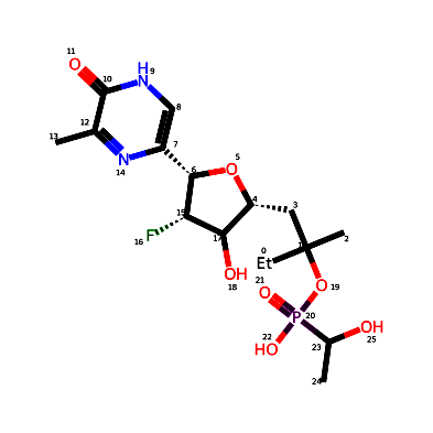 CCC(C)(C[C@H]1O[C@@H](c2c[nH]c(=O)c(C)n2)[C@@H](F)C1O)OP(=O)(O)C(C)O